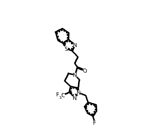 O=C(CCc1nc2ccccc2s1)N1CCc2c(C(F)(F)F)nn(Cc3ccc(F)cc3)c2C1